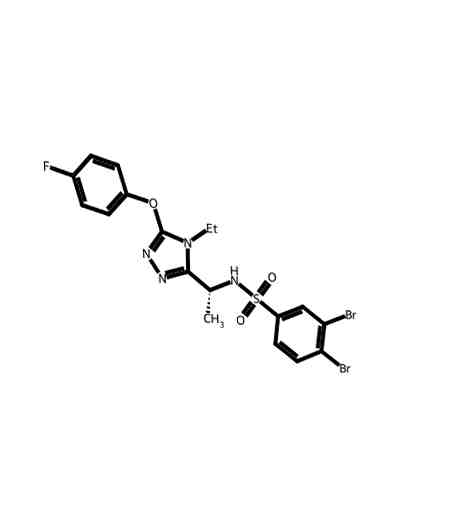 CCn1c(Oc2ccc(F)cc2)nnc1[C@@H](C)NS(=O)(=O)c1ccc(Br)c(Br)c1